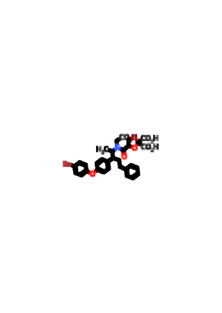 CC(C(CCc1ccccc1)c1ccc(Oc2ccc(Br)cc2)cc1)N(CC(=O)O)C(=O)C1COC(C(=O)O)(C(=O)O)O1